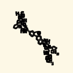 COC(=O)NCC(=O)N(Cc1ncc(-c2ccc3c(c2)COc2cc4c(ccc5nc(CN(C(=O)CNC(=O)OC)[C@H]6CCC[C@H]6C)[nH]c54)cc2-3)[nH]1)[C@H]1CCC[C@H]1C